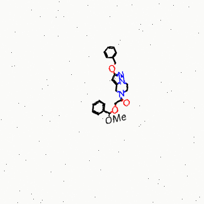 CO[C@H](OCC(=O)N1CCn2nc(OCc3ccccc3)cc2C1)c1ccccc1